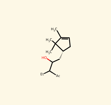 CCC(C(C)=O)C(O)C[C@H]1CC=C(C)C1(C)C